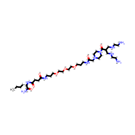 CCCC[C@H](NC(=O)CCC(=O)NCCCOCCOCCOCCCNC(=O)CN1CCN(C(=O)C(CNCCN)CNCCN)CC1)C(N)=O